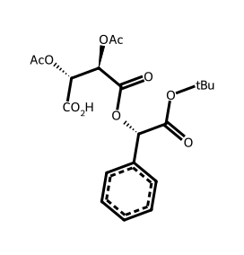 CC(=O)O[C@@H](C(=O)O)[C@@H](OC(C)=O)C(=O)O[C@H](C(=O)OC(C)(C)C)c1ccccc1